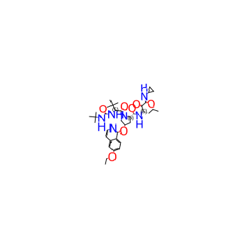 CCC[C@H](NC(=O)[C@@H]1CC(Oc2nccc3cc(OCC)ccc23)CN1C(=O)[C@@H](NC(=O)NC(C)(C)C)C(C)(C)C)C(=O)C(=O)NC1CC1